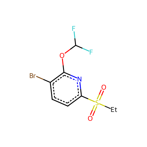 CCS(=O)(=O)c1ccc(Br)c(OC(F)F)n1